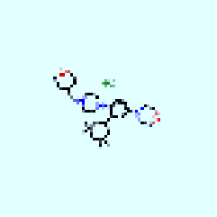 CC1(C)CC(c2cc(N3CCOCC3)ccc2N2CCN(CC3CCOCC3)CC2)CC(C)(C)C1.Cl